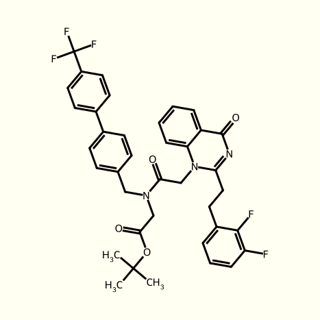 CC(C)(C)OC(=O)CN(Cc1ccc(-c2ccc(C(F)(F)F)cc2)cc1)C(=O)Cn1c(CCc2cccc(F)c2F)nc(=O)c2ccccc21